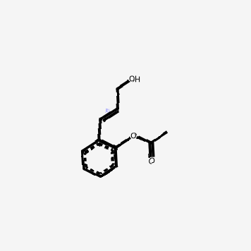 CC(=O)Oc1ccccc1/C=C/CO